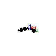 CCc1ccc(-c2ccc(CCNCC(O)c3cccc(Cl)c3)cc2)cc1